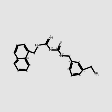 N=C(NCc1cccc2ccccc12)NC(=O)NCc1cccc(CN)c1